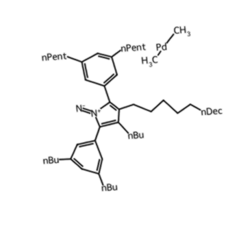 CCCCCCCCCCCCCCCC1=C(c2cc(CCCCC)cc(CCCCC)c2)[N+](=[N-])C(c2cc(CCCC)cc(CCCC)c2)=C1CCCC.[CH3][Pd][CH3]